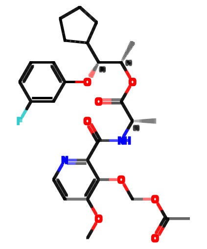 COc1ccnc(C(=O)N[C@@H](C)C(=O)O[C@@H](C)[C@H](Oc2cccc(F)c2)C2CCCC2)c1OCOC(C)=O